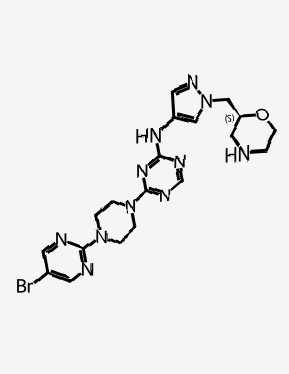 Brc1cnc(N2CCN(c3ncnc(Nc4cnn(C[C@@H]5CNCCO5)c4)n3)CC2)nc1